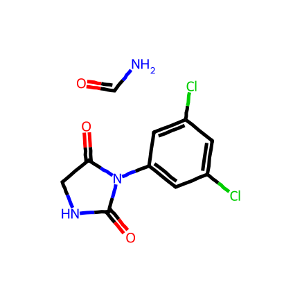 NC=O.O=C1CNC(=O)N1c1cc(Cl)cc(Cl)c1